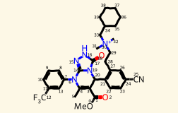 COC(=O)C1=C(C)N(c2cccc(C(F)(F)F)c2)c2n[nH]c(=O)n2C1c1ccc(C#N)cc1CC[N+](C)(C)CC1CCCCC1